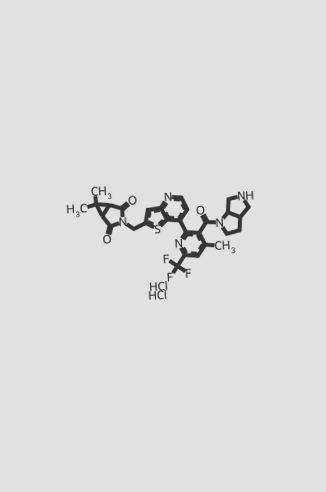 Cc1cc(C(F)(F)F)nc(-c2ccnc3cc(CN4C(=O)C5C(C4=O)C5(C)C)sc23)c1C(=O)N1CCC2CNCC21.Cl.Cl